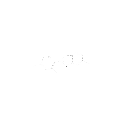 Cc1ccc(-c2nc3cc(C)ccc3o2)c(C)c1